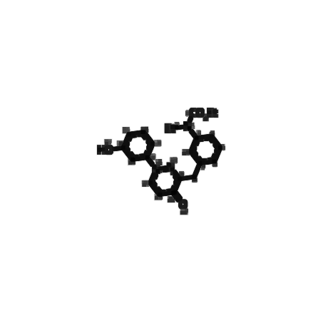 CCOC(=O)N(CC)c1cccc(Cc2nn(-c3cccc(O)c3)ccc2=O)c1